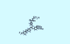 COc1ccc(CN(Cc2cccc(Oc3cccc(C(F)(F)F)c3)c2)Cc2ccc(C(=O)NCCC(=O)O)s2)cc1OC